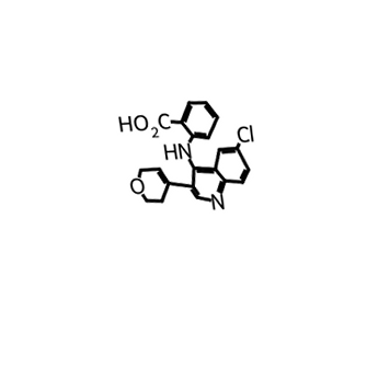 O=C(O)c1ccccc1Nc1c(C2=CCOCC2)cnc2ccc(Cl)cc12